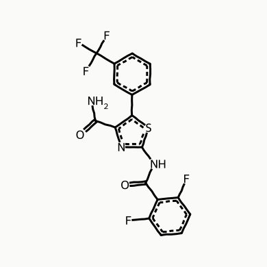 NC(=O)c1nc(NC(=O)c2c(F)cccc2F)sc1-c1cccc(C(F)(F)F)c1